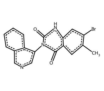 Cc1cc2c(=O)n(-c3cncc4ccccc34)c(=O)[nH]c2cc1Br